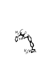 CC(C(=O)Nc1cc2cc(-c3cncn3C)ccc2nn1)N1CCCC1